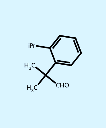 CC(C)c1ccccc1C(C)(C)C=O